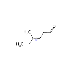 CC/C(C)=C/C[C]=O